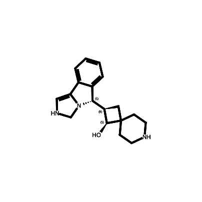 O[C@H]1[C@@H]([C@H]2c3ccccc3C3=CNCN32)CC12CCNCC2